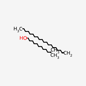 C=CCCCCCCCCCCCCCCCCCC.CC(C)CCCCCCCCCCO